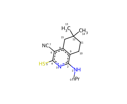 CCCNc1nc(S)c(C#N)c2c1CCC(C)(C)C2